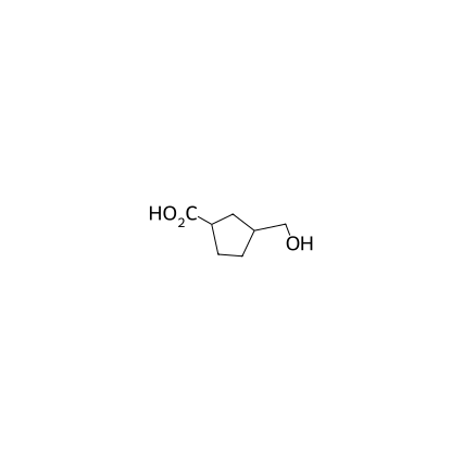 O=C(O)C1CCC(CO)C1